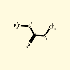 FC(F)(F)SC(=S)SC(F)(F)F